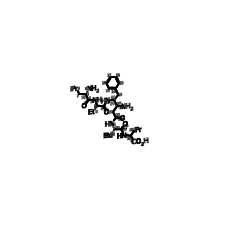 CC[C@H](NC(=O)[C@@H](N)CC(C)C)C(=O)N[C@@H](Cc1ccccc1)[C@@H](N)CC(=O)N[C@H](C(=O)N[C@H](C(=O)O)C(C)C)[C@@H](C)CC